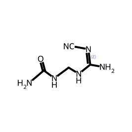 N#C/N=C(/N)NCNC(N)=O